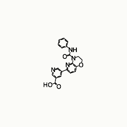 O=C(O)c1cncc(-c2ccc3c(n2)N(C(=O)Nc2ccccc2)CCO3)c1